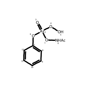 CC(=O)NO[As](=O)(OO)Oc1ccccc1